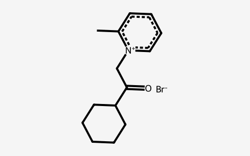 Cc1cccc[n+]1CC(=O)C1CCCCC1.[Br-]